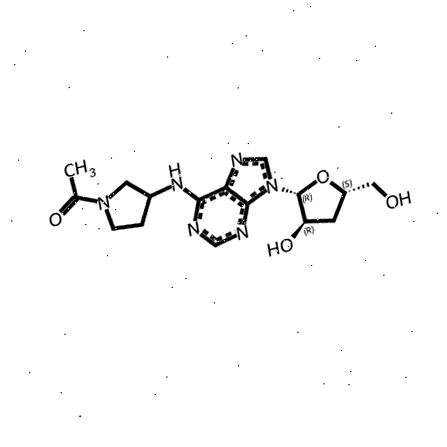 CC(=O)N1CCC(Nc2ncnc3c2ncn3[C@@H]2O[C@H](CO)C[C@H]2O)C1